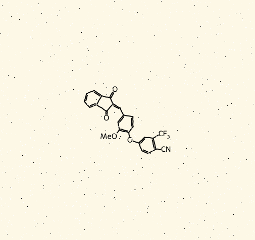 COc1cc(C=C2C(=O)c3ccccc3C2=O)ccc1Oc1ccc(C#N)c(C(F)(F)F)c1